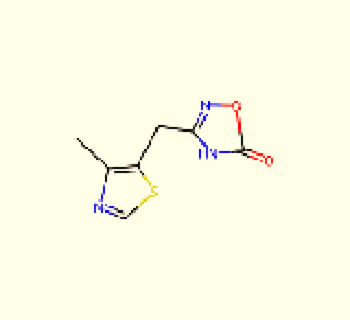 Cc1ncsc1Cc1noc(=O)[nH]1